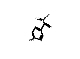 C=C(c1ccc(O)cc1)[N+](=O)[O-]